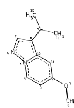 COc1ccn2ncc(C(C)C)c2c1